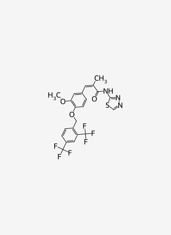 COc1cc(C=C(C)C(=O)Nc2nncs2)ccc1OCc1ccc(C(F)(F)F)cc1C(F)(F)F